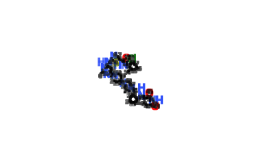 Cc1nc(Nc2ncc(C(=O)Nc3c(C)cccc3Cl)s2)cc(N2CCC(N3CCN(Cc4ccccc4NC4CCC(=O)NC4=O)CC3)CC2)n1